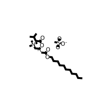 CCCCCCCCCCCOC(=O)C[C@H](C[N+](C)(C)C)OC(=O)CC(C)C.CS(=O)(=O)[O-]